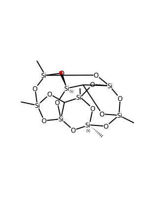 C[Si]12OC3[Si]4(C)O[Si]56O[Si]7(C)OC5[Si@@](C)(O[Si](C)(O1)O6)O[Si]3(O2)O[Si@](C)(O7)O4